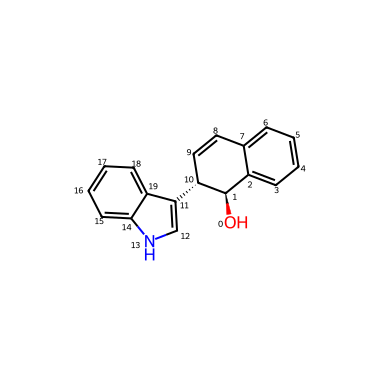 O[C@@H]1c2ccccc2C=C[C@H]1c1c[nH]c2ccccc12